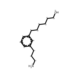 NCCCc1cccc(CCCCCCO)c1